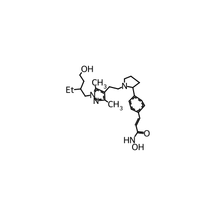 CCC(CCO)Cn1nc(C)c(CCN2CCCC2c2ccc(C=CC(=O)NO)cc2)c1C